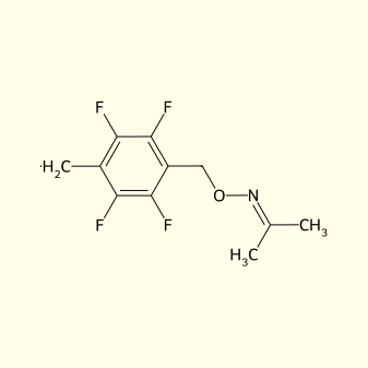 [CH2]c1c(F)c(F)c(CON=C(C)C)c(F)c1F